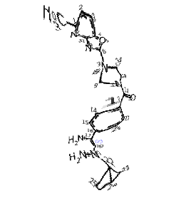 Cc1ccc2oc(N3CCN(C(=O)c4ccc(/C(N)=C/N(N)C56CC5C6)cc4)CC3)nc2n1